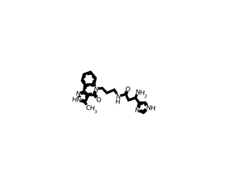 Cc1[nH]nc2c1c(=O)n(CCCNC(=O)CC(N)c1c[nH]cn1)c1ccccc21